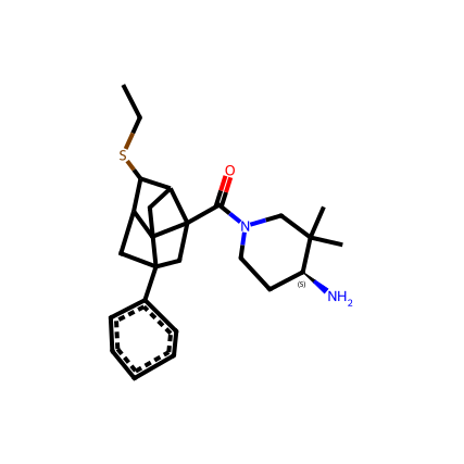 CCSC1C2CC3(c4ccccc4)CC1C(C(=O)N1CC[C@H](N)C(C)(C)C1)(C2)C3